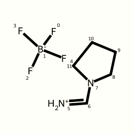 F[B-](F)(F)F.[NH2+]=CN1CCCC1